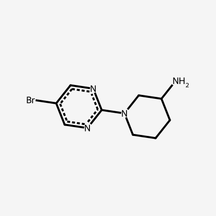 NC1CCCN(c2ncc(Br)cn2)C1